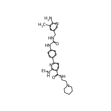 CCNc1nc(-c2ccc(NC(=O)NCc3cnc(N)c(C)c3)cc2)ccc1C(=O)NCCN1CCCCC1